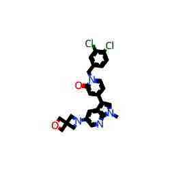 Cn1cc(-c2ccn(Cc3ccc(Cl)c(Cl)c3)c(=O)c2)c2cc(N3CC4(COC4)C3)cnc21